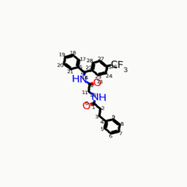 O=C(CCc1ccccc1)NCC(=O)NC(c1ccccc1)c1ccc(C(F)(F)F)cc1